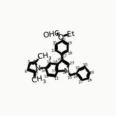 CCOC=O.Cc1ccc(C)n1-c1ccc2c(c1)c(-c1ccccc1)cn2Cc1ccccc1